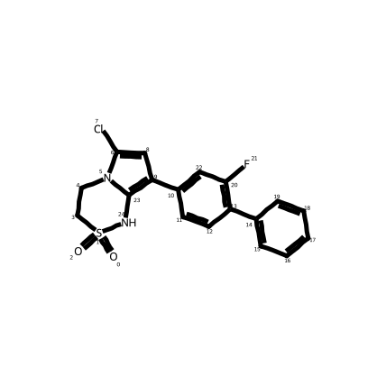 O=S1(=O)CCn2c(Cl)cc(-c3ccc(-c4ccccc4)c(F)c3)c2N1